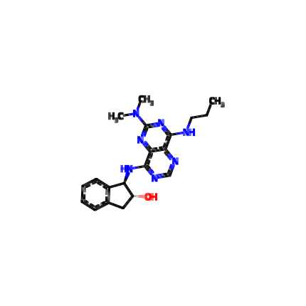 CCCNc1nc(N(C)C)nc2c(N[C@@H]3c4ccccc4C[C@H]3O)ncnc12